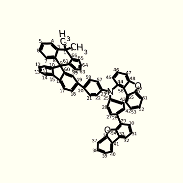 CC1(C)c2ccccc2C2(c3ccccc3-c3ccc(-c4ccc(N(c5ccc(-c6cccc7c6oc6ccccc67)cc5)c5cccc6oc7ccccc7c56)cc4)cc32)c2ccccc21